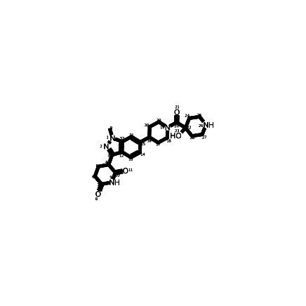 Cn1nc(C2CCC(=O)NC2=O)c2ccc(C3CCN(C(=O)C4(O)CCNCC4)CC3)cc21